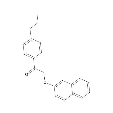 CCCc1ccc(C(=O)COc2ccc3ccccc3c2)cc1